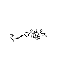 CC(NC(=O)c1ccc(C#CC#CC2CC2CO)cc1)(C(=O)OC(=O)C(F)(F)F)[C@H]1COCCN1